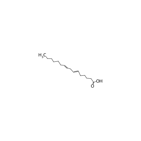 CCCCCC/C=C/C/C=C/CCCCC(=O)O